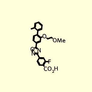 COCCOc1cc(-c2nc(-c3ccc(C(=O)O)c(F)c3)no2)ccc1-c1ccccc1C